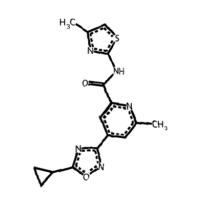 Cc1cc(-c2noc(C3CC3)n2)cc(C(=O)Nc2nc(C)cs2)n1